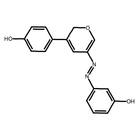 Oc1ccc(C2=CC(N=Nc3cccc(O)c3)=COC2)cc1